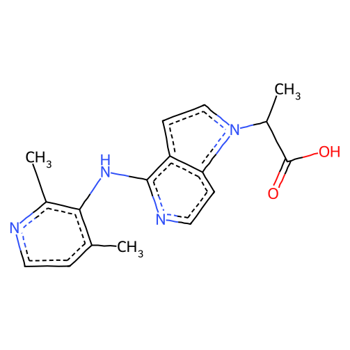 Cc1ccnc(C)c1Nc1nccc2c1ccn2C(C)C(=O)O